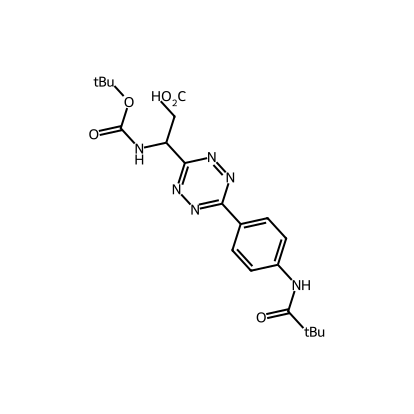 CC(C)(C)OC(=O)NC(CC(=O)O)c1nnc(-c2ccc(NC(=O)C(C)(C)C)cc2)nn1